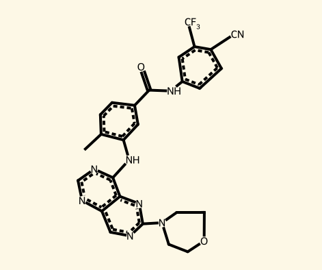 Cc1ccc(C(=O)Nc2ccc(C#N)c(C(F)(F)F)c2)cc1Nc1ncnc2cnc(N3CCOCC3)nc12